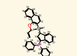 C=CCOc1c([Si](C)(C)C2C=C(P(c3ccccc3)c3ccccc3)c3ccccc32)ccc2ccccc12